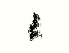 CCOP(=O)(Cc1ccc(NS(=O)(=O)c2cc(C(=O)[AsH]c3ccc(Br)cc3C(=O)O)sc2C)cc1)OCC